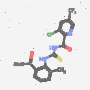 CNC(=O)c1cccc(C)c1NC(=S)NC(=O)c1ncc(C(F)(F)F)cc1Cl